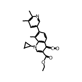 CCOC(=O)C1=CN(C2CC2)c2c(ccc(-c3cnc(C)c(C)c3)c2C)C1=C=O